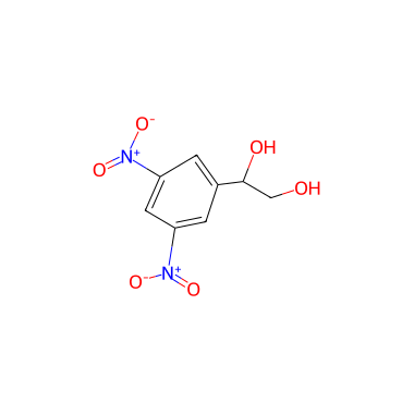 O=[N+]([O-])c1cc(C(O)CO)cc([N+](=O)[O-])c1